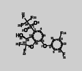 O=S(=O)(c1ccc(Oc2cc(F)cc(F)c2)c2c1[C@H](O)C(F)(F)O2)C(F)(F)F